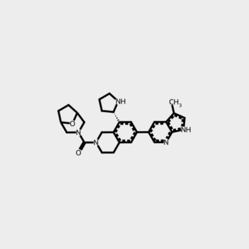 Cc1c[nH]c2ncc(-c3cc4c(c([C@@H]5CCCN5)c3)CN(C(=O)N3CC5CCC(C3)O5)CC4)cc12